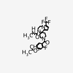 CNC(=O)N1CCn2c(C(F)(F)F)ccc2C12CCN(C(=O)c1ccc(OC(C)C)cc1F)CC2